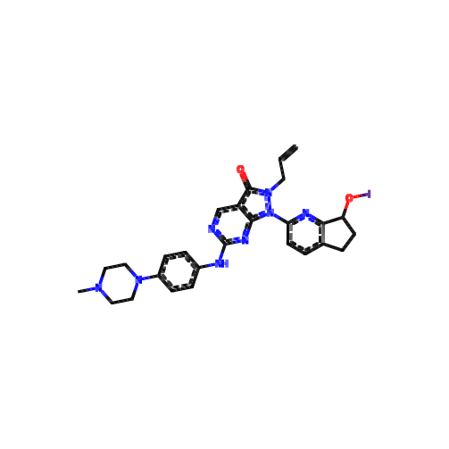 C=CCn1c(=O)c2cnc(Nc3ccc(N4CCN(C)CC4)cc3)nc2n1-c1ccc2c(n1)C(OI)CC2